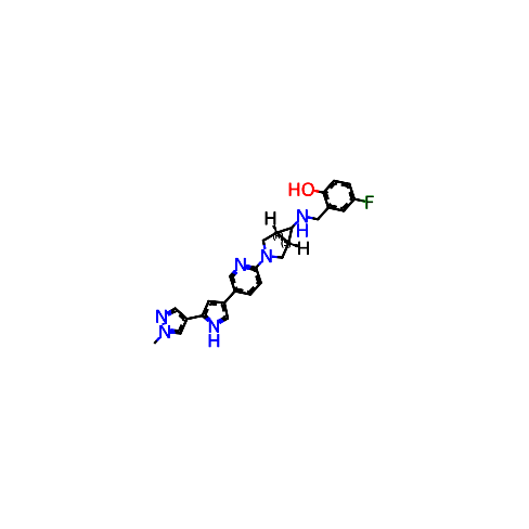 Cn1cc(-c2cc(-c3ccc(N4C[C@@H]5C(NCc6cc(F)ccc6O)[C@@H]5C4)nc3)c[nH]2)cn1